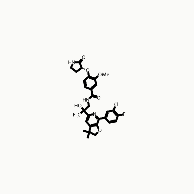 COc1cc(C(=O)NCC(O)(c2cc3c(c(-c4ccc(F)c(Cl)c4)n2)OCC3(C)C)C(F)(F)F)ccc1O[C@@H]1CCNC1=O